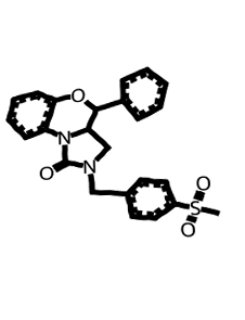 CS(=O)(=O)c1ccc(CN2CC3C(c4ccccc4)Oc4ccccc4N3C2=O)cc1